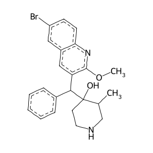 COc1nc2ccc(Br)cc2cc1C(c1ccccc1)C1(O)CCNCC1C